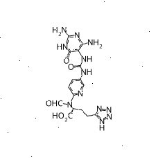 Nc1nc(N)c(NC(=O)Nc2ccc(N(C=O)[C@@H](CCc3nnn[nH]3)C(=O)O)nc2)c(=O)[nH]1